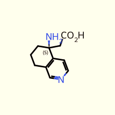 N[C@]1(CC(=O)O)CCCc2cnccc21